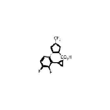 O=C(O)[C@@H]1C[C@@H](C(F)(F)F)C[C@H]1c1ccc(F)c(F)c1C1CC1